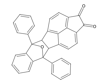 O=C1C(=O)c2ccc3c4c(ccc1c24)C1C3C2(c3ccccc3)OC1(c1ccccc1)c1ccccc12